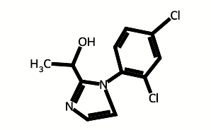 CC(O)c1nccn1-c1ccc(Cl)cc1Cl